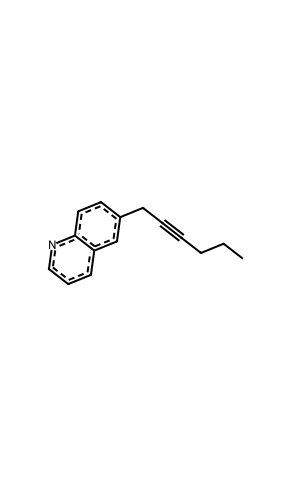 CCCC#CCc1ccc2ncccc2c1